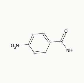 [NH]C(=O)c1ccc([N+](=O)[O-])cc1